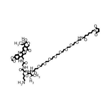 CC[C@@]1(O)C(=O)OCc2c1cc1n(c2=O)Cc2c-1nc1cc3c(cc1c2CNC(=O)CNC(=O)[C@H](CCCCN)NC(=O)[C@@H](NC(=O)CCOCCOCCOCCOCCOCCOCCOCCOCCNC(=O)CCCCCN1C(=O)C=CC1=O)C(C)C)OCO3